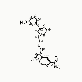 NC(=O)c1ccc2[nH]cc(CCCCN3CCCC(c4cccc(O)c4)C3)c2c1